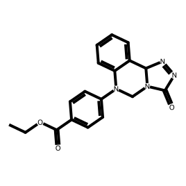 CCOC(=O)c1ccc(N2CN3C(=O)N=NC3c3ccccc32)cc1